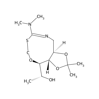 C[C@@H](O)[C@H]1OCSC(N(C)C)=NC[C@H]2OC(C)(C)O[C@H]12